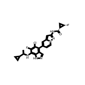 CC(Nc1c(F)c(Cl)c(-c2ccn3nc(NC(=O)[C@@H]4C[C@@H]4F)cc3c2)c2cn[nH]c12)C1CC1